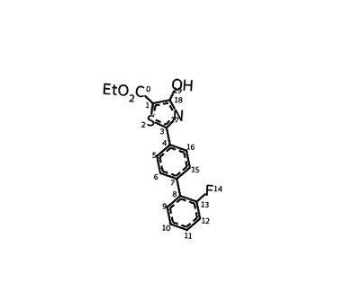 CCOC(=O)c1sc(-c2ccc(-c3ccccc3F)cc2)nc1O